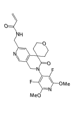 C=CC(=O)NCc1cc2c(cn1)CN(c1c(F)c(OC)nc(OC)c1F)C(=O)C21CCOCC1